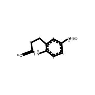 CCCCC[CH]c1ccc2c(c1)CCC(=O)N2